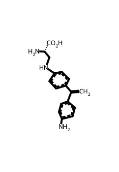 C=C(c1ccc(N)cc1)c1ccc(NC[C@H](N)C(=O)O)cc1